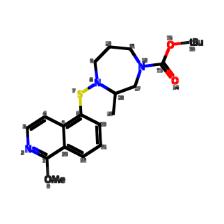 COc1nccc2c(SN3CCCN(C(=O)OC(C)(C)C)CC3C)cccc12